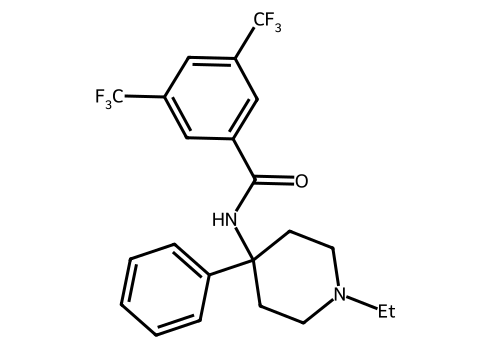 CCN1CCC(NC(=O)c2cc(C(F)(F)F)cc(C(F)(F)F)c2)(c2ccccc2)CC1